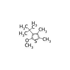 COc1sc(C)c(C)c1C(C)(C)C